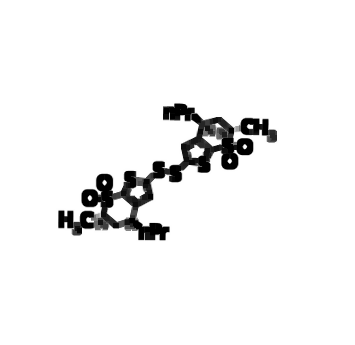 CCC[C@H]1C[C@H](C)S(=O)(=O)c2sc(SSc3cc4c(s3)S(=O)(=O)[C@@H](C)C[C@@H]4CCC)cc21